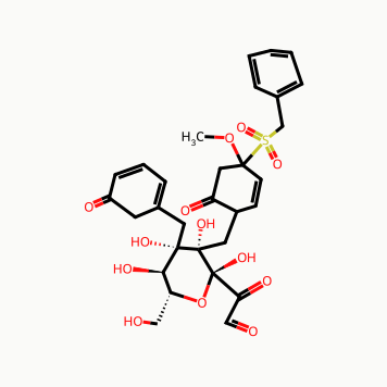 COC1(S(=O)(=O)Cc2ccccc2)C=CC(C[C@@]2(O)[C@](O)(C(=O)C=O)O[C@H](CO)[C@@H](O)[C@@]2(O)CC2=CC=CC(=O)C2)C(=O)C1